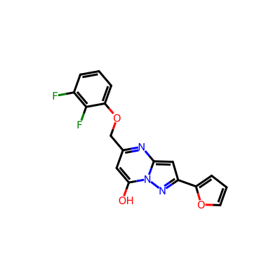 Oc1cc(COc2cccc(F)c2F)nc2cc(-c3ccco3)nn12